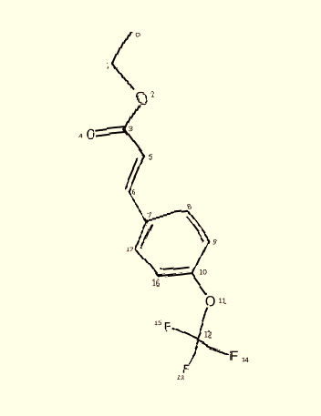 CCOC(=O)/C=C/c1ccc(OC(F)(F)F)cc1